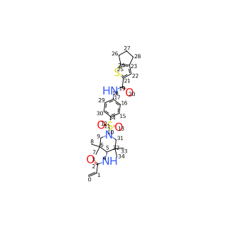 C=CC(=O)NC1C(C)(C)CN(S(=O)(=O)c2ccc(NC(=O)c3cc4c(s3)CCC4)cc2)CC1(C)C